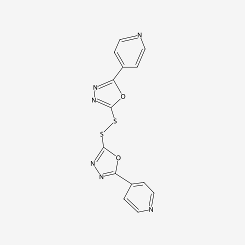 c1cc(-c2nnc(SSc3nnc(-c4ccncc4)o3)o2)ccn1